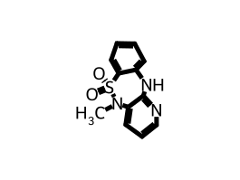 CN1c2cccnc2Nc2ccccc2S1(=O)=O